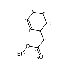 CCOC(=O)CC1C=CCCC1